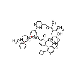 C=C/C(C[C@@H](Oc1nsc2cnc(C3CCC3)c(-c3ccc(OCCN4CCN(C)CC4)c(Cl)c3C)c12)C(=O)O)=C(\C)OCc1ccnc(-c2ccc(OCc3ccccc3)nc2)n1